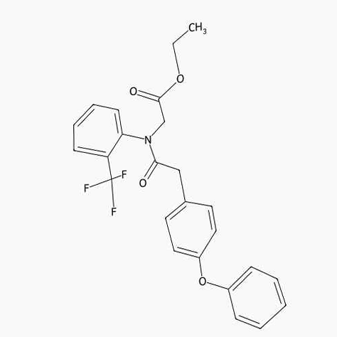 CCOC(=O)CN(C(=O)Cc1ccc(Oc2ccccc2)cc1)c1ccccc1C(F)(F)F